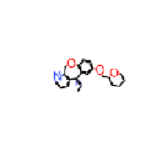 C/C=C1/c2cc(OCC3CCCCO3)ccc2OCc2ncccc21